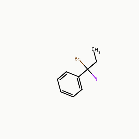 CCC(Br)(I)c1ccccc1